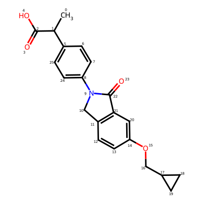 CC(C(=O)O)c1ccc(N2Cc3ccc(OCC4CC4)cc3C2=O)cc1